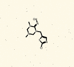 CN1CN(C)/C(=N\N=O)N(Cc2cnc(Cl)s2)C1